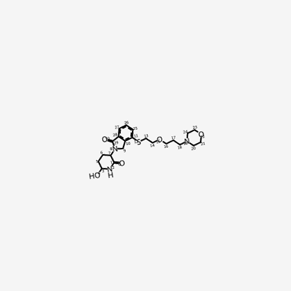 O=C1NC(O)CCC1N1Cc2c(SCCOCCCN3CCOCC3)cccc2C1=O